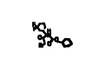 O=C(N[C@H](C(=O)CBr)[C@H]1CCCC(F)(F)C1)OCc1ccccc1